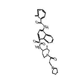 Cc1ccccc1C(=O)Nc1ccc(S(=O)(=O)N[C@@H]2CCN(C(=O)CN3CCCC3)C[C@@H]2C)c2ccccc12